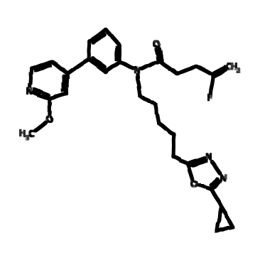 C=C(F)CCC(=O)N(CCCCCc1nnc(C2CC2)o1)c1cccc(-c2ccnc(OC)c2)c1